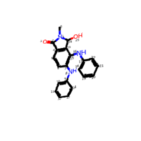 CN1C(=O)c2ccc(Nc3ccccc3)c(Nc3ccccc3)c2C1O